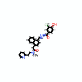 CCCN(CCc1ccccn1)C(=O)Cc1ccc(/C=N/NC(=O)c2ccc(O)c(Cl)c2)c2ccccc12